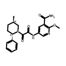 COc1ncc(NC(=O)C(=O)N2C[C@H](C)CC[C@H]2c2ccccc2)cc1C(N)=O